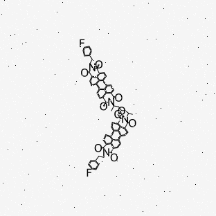 CC(COCC(C)N1C(=O)c2ccc3c4ccc5c6c(ccc(c7ccc(c2c37)C1=O)c64)C(=O)N(CCc1ccc(F)cc1)C5=O)N1C(=O)c2ccc3c4ccc5c6c(ccc(c7ccc(c2c37)C1=O)c64)C(=O)N(CCc1ccc(F)cc1)C5=O